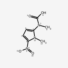 CN(C(=O)O)c1ccc([N+](=O)[O-])n1C